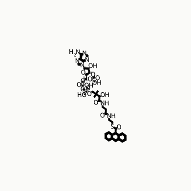 CC(C)(COP(=O)(O)OP(=O)(O)OC[C@H]1O[C@@H](n2cnc3c(N)ncnc32)[C@H](O)[C@@H]1OP(=O)(O)O)C(O)C(=O)NCCC(=O)NCCSC(=O)c1c2ccccc2cc2ccccc12